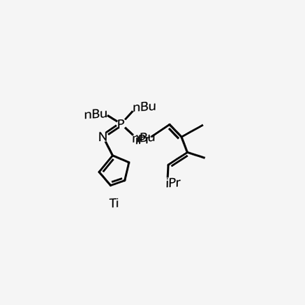 CC(=CC(C)C)C(C)=CC(C)C.CCCCP(CCCC)(CCCC)=NC1=CC=CC1.[Ti]